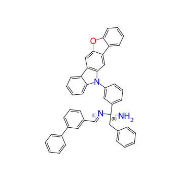 N[C@](Cc1ccccc1)(/N=C/c1cccc(-c2ccccc2)c1)c1cccc(-n2c3ccccc3c3cc4oc5ccccc5c4cc32)c1